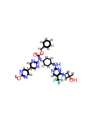 COc1ncc(-c2cnc(N(C(=O)OCc3ccccc3)[C@H]3CC[C@H](Nc4ncc(C(F)(F)F)c(N5CC(C)(O)C5)n4)CC3)nc2)cn1